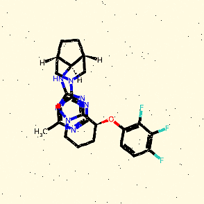 Cc1cc(N2C[C@H]3CC[C@@H](C2)[C@@H]3Nc2nc3n(n2)CCC[C@@H]3Oc2ccc(F)c(F)c2F)ncn1